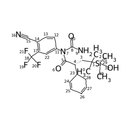 CC(C)(C[C@@H](C(=O)N(C(N)=O)c1ccc(C#N)c(C(F)(F)F)c1)C1C=CC=CC1)[Si](C)(C)O